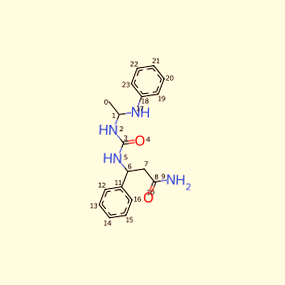 CC(NC(=O)NC(CC(N)=O)c1ccccc1)Nc1ccccc1